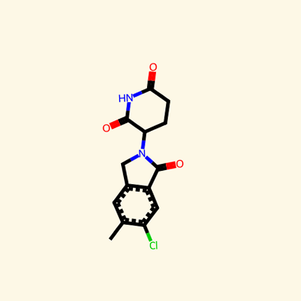 Cc1cc2c(cc1Cl)C(=O)N(C1CCC(=O)NC1=O)C2